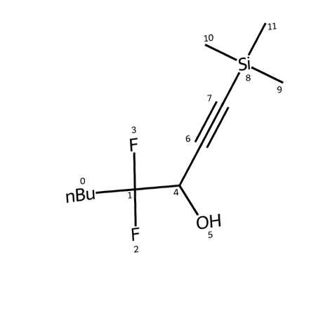 CCCCC(F)(F)C(O)C#C[Si](C)(C)C